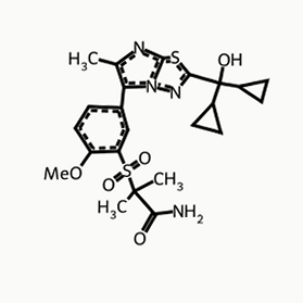 COc1ccc(-c2c(C)nc3sc(C(O)(C4CC4)C4CC4)nn23)cc1S(=O)(=O)C(C)(C)C(N)=O